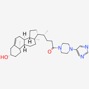 C[C@H](CCC(=O)N1CCN(c2cncnc2)CC1)[C@H]1CC[C@H]2[C@@H]3CC=C4C[C@@H](O)CC[C@]4(C)[C@H]3CC[C@]12C